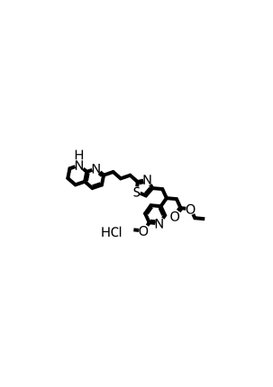 CCOC(=O)CC(Cc1csc(CCCc2ccc3c(n2)NCCC3)n1)c1ccc(OC)nc1.Cl